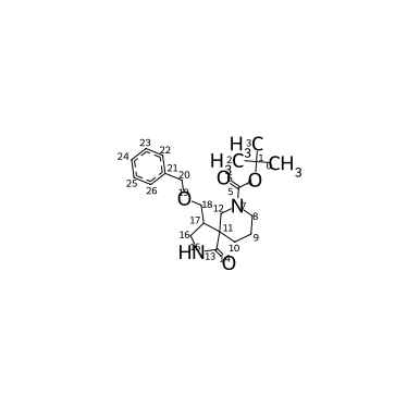 CC(C)(C)OC(=O)N1CCCC2(C1)C(=O)NCC2COCc1ccccc1